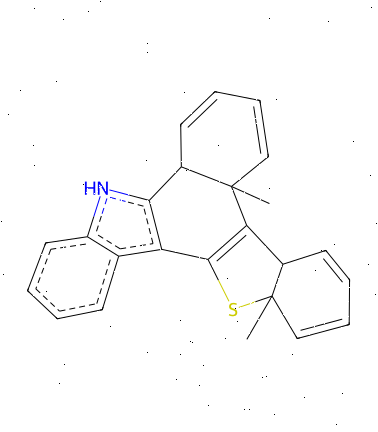 CC12C=CC=CC1C1=C(S2)c2c([nH]c3ccccc23)C2C=CC=CC12C